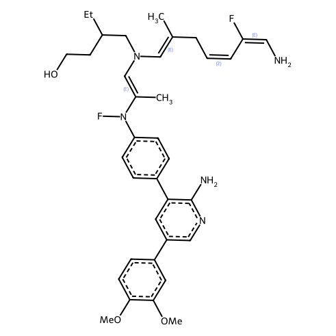 CCC(CCO)CN(/C=C(\C)C/C=C\C(F)=C/N)/C=C(\C)N(F)c1ccc(-c2cc(-c3ccc(OC)c(OC)c3)cnc2N)cc1